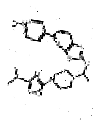 CC(C)c1noc(N2CCC(C(C)Oc3nc4ccc(-c5cc[n+]([O-])cc5)nc4s3)CC2)n1